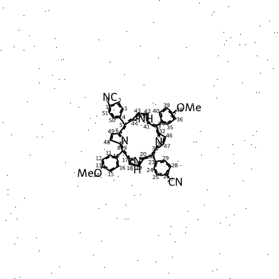 [C-]#[N+]c1ccc(-c2c3nc(c(-c4ccc(OC)cc4)c4ccc([nH]4)c(-c4ccc(C#N)cc4)c4nc(c(-c5ccc(OC)cc5)c5ccc2[nH]5)C=C4)C=C3)cc1